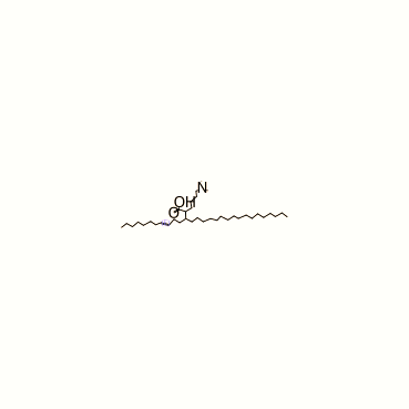 CCCCCCC/C=C/CCC(CCCCCCCCCCCCCCCCC)C(CCCCN(C)C)C(=O)O